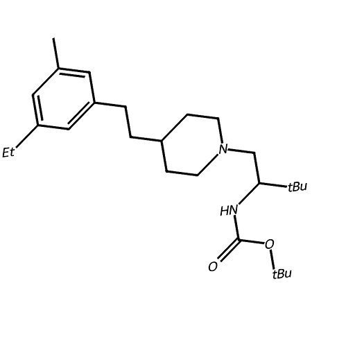 CCc1cc(C)cc(CCC2CCN(CC(NC(=O)OC(C)(C)C)C(C)(C)C)CC2)c1